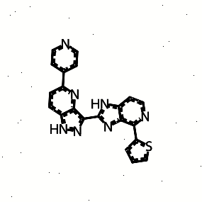 c1csc(-c2nccc3[nH]c(-c4n[nH]c5ccc(-c6ccncc6)nc45)nc23)c1